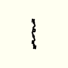 N#CCCOCC#CCSC#N